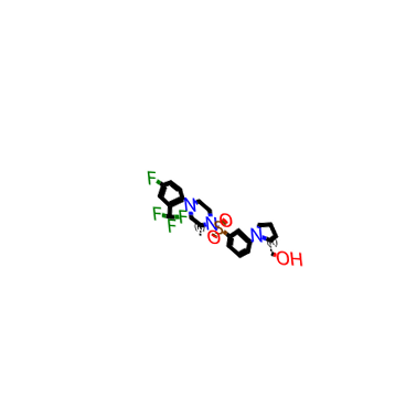 C[C@@H]1CN(c2ccc(F)cc2C(F)(F)F)CCN1S(=O)(=O)c1cccc(N2CCC[C@@H]2CO)c1